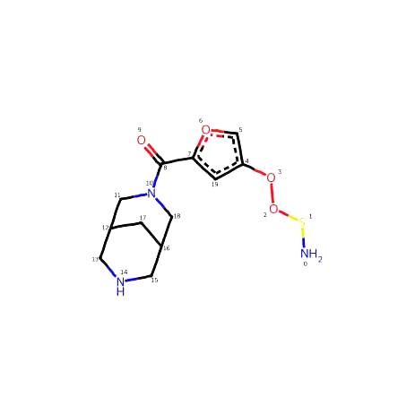 NSOOc1coc(C(=O)N2CC3CNCC(C3)C2)c1